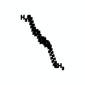 CCCCCCCCCCCCOc1ccc(-c2ncc(CC[C@H]3CC[C@H](CCCCCCCCC)CC3)cn2)cc1